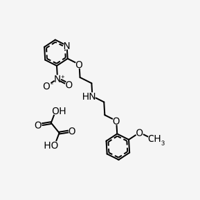 COc1ccccc1OCCNCCOc1ncccc1[N+](=O)[O-].O=C(O)C(=O)O